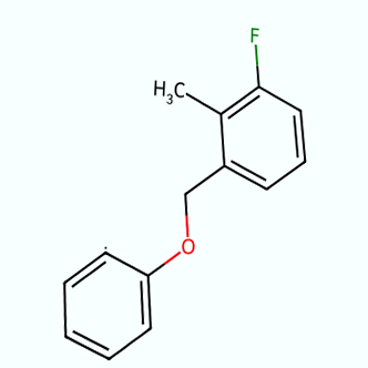 Cc1c(F)cccc1COc1[c]cccc1